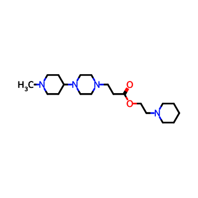 CN1CCC(N2CCN(CCC(=O)OCCN3CCCCC3)CC2)CC1